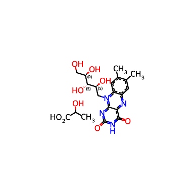 CC(O)C(=O)O.Cc1cc2nc3c(=O)[nH]c(=O)nc-3n(C[C@H](O)[C@H](O)[C@H](O)CO)c2cc1C